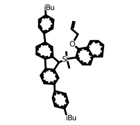 C=CCOc1c([Si](C)(C)C2c3cc(-c4ccc(C(C)CC)cc4)ccc3-c3ccc(-c4ccc(C(C)CC)cc4)cc32)ccc2ccccc12